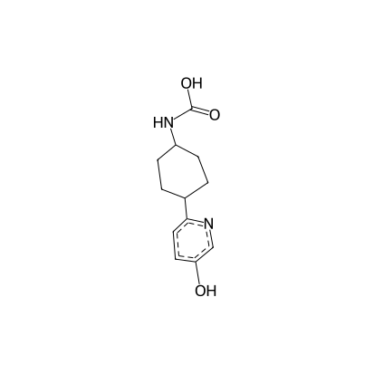 O=C(O)NC1CCC(c2ccc(O)cn2)CC1